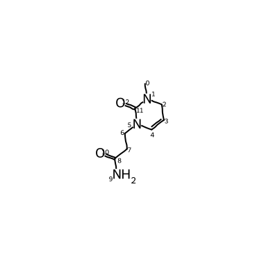 CN1CC=CN(CCC(N)=O)C1=O